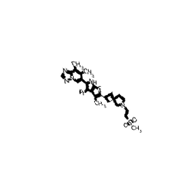 Cc1c(-c2[nH]c3sc([C@H]4C[C@@]5(CCN(CCS(C)(=O)=O)C5)C4)c(C)c3c2C(C)C)cn2ncnc2c1C